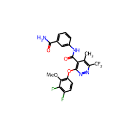 COc1c(Oc2nnc(C(F)(F)F)c(C)c2C(=O)Nc2cccc(C(N)=O)c2)ccc(F)c1F